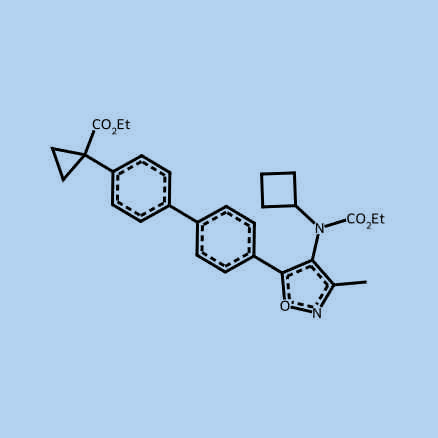 CCOC(=O)N(c1c(C)noc1-c1ccc(-c2ccc(C3(C(=O)OCC)CC3)cc2)cc1)C1CCC1